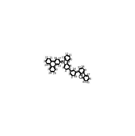 c1cc(-c2ccc3c(c2)c2ccccc2n3-c2ccc3c4ccccc4c4ccccc4c3c2)cc(-c2cccc3c2oc2ccccc23)c1